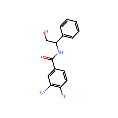 Nc1cc(C(=O)NC(CO)c2ccccc2)ccc1Cl